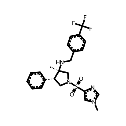 Cn1cnc(S(=O)(=O)N2C[C@H](c3ccccc3)[C@@](C)(NCc3ccc(C(F)(F)F)cc3)C2)c1